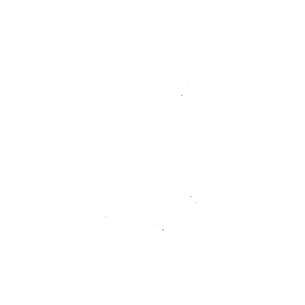 COc1cc(C(=O)NC2CCCN(C(=O)OC(C)OC(=O)CCNC(=O)OC(C)(C)C)C2)cc(OC)c1OC